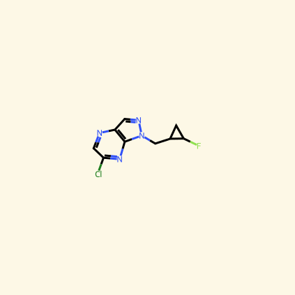 FC1CC1Cn1ncc2ncc(Cl)nc21